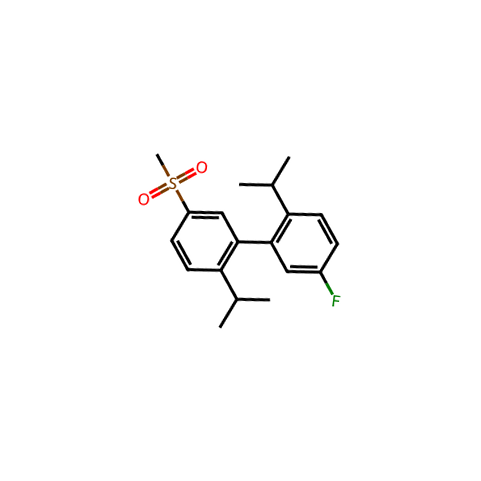 CC(C)c1ccc(F)cc1-c1cc(S(C)(=O)=O)ccc1C(C)C